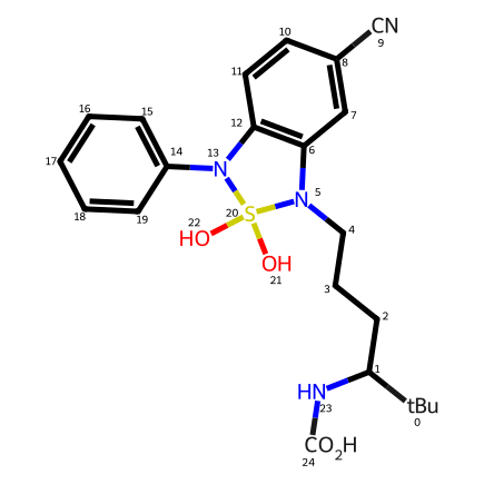 CC(C)(C)C(CCCN1c2cc(C#N)ccc2N(c2ccccc2)S1(O)O)NC(=O)O